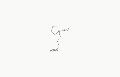 CCCCCCCCCCCC[N+]1(CCCCCCCC)CCCC1